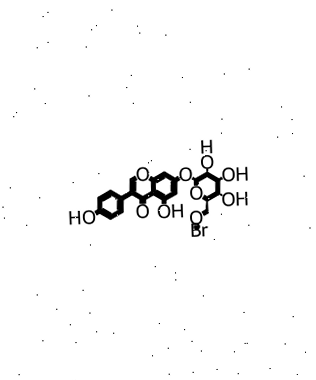 O=c1c(-c2ccc(O)cc2)coc2cc(O[C@@H]3O[C@H](COBr)[C@@H](O)[C@H](O)[C@H]3O)cc(O)c12